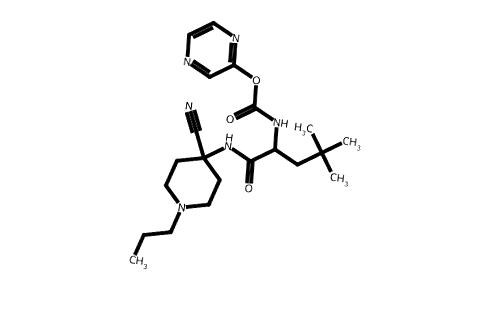 CCCN1CCC(C#N)(NC(=O)C(CC(C)(C)C)NC(=O)Oc2cnccn2)CC1